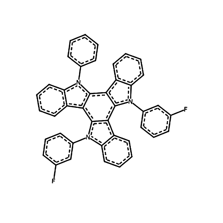 Fc1cccc(-n2c3ccccc3c3c4c(c5ccccc5n4-c4ccccc4)c4c(c5ccccc5n4-c4cccc(F)c4)c32)c1